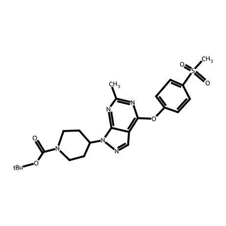 Cc1nc(Oc2ccc(S(C)(=O)=O)cc2)c2cnn(C3CCN(C(=O)OC(C)(C)C)CC3)c2n1